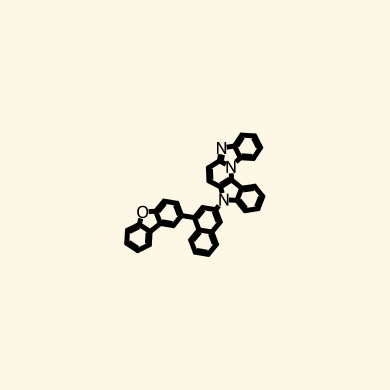 c1ccc2c(-c3ccc4oc5ccccc5c4c3)cc(-n3c4ccccc4c4c3ccc3nc5ccccc5n34)cc2c1